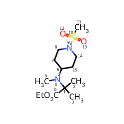 CCOC(=O)C(C)(C)N(C)C1CCN(S(C)(=O)=O)CC1